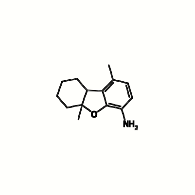 Cc1ccc(N)c2c1C1CCCCC1(C)O2